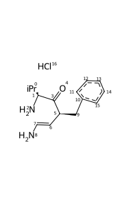 CC(C)[C@H](N)C(=O)[C@H](C=CN)Cc1ccccc1.Cl